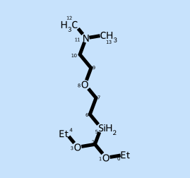 CCOC(OCC)[SiH2]CCOCCN(C)C